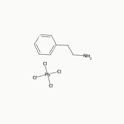 NCCc1ccccc1.[Cl][Pb]([Cl])([Cl])[Cl]